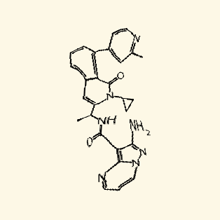 Cc1cc(-c2cccc3cc([C@H](C)NC(=O)c4c(N)nn5cccnc45)n(C4CC4)c(=O)c23)ccn1